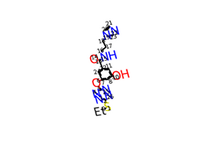 CCSc1nnc(Oc2cc(O)cc(C(=O)NCCCn3ccnc3)c2)nn1